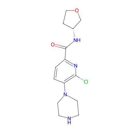 O=C(N[C@@H]1CCOC1)c1ccc(N2CCNCC2)c(Cl)n1